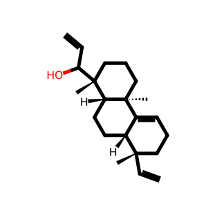 C=CC(O)[C@]1(C)CCC[C@@]2(C)C3=CCC[C@](C)(C=C)[C@@H]3CC[C@@H]21